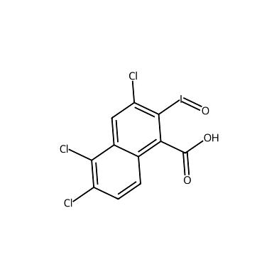 O=Ic1c(Cl)cc2c(Cl)c(Cl)ccc2c1C(=O)O